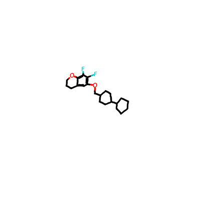 Fc1c(OCC2CCC(C3CCCCC3)CC2)cc2c(c1F)OCCC2